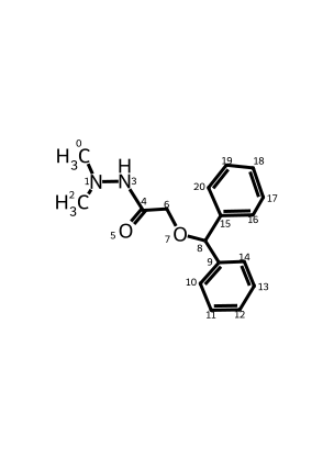 CN(C)NC(=O)COC(c1ccccc1)c1ccccc1